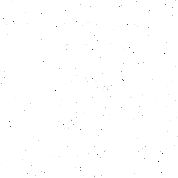 c1ccc(-c2ccccc2N(c2ccc(-c3cccc4c3oc3ccccc34)cc2)c2ccc3c(c2)C2(CC4CCC2C4)c2ccccc2-3)cc1